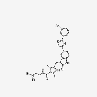 CCN(CC)CCNC(=O)c1c(C)[nH]c(/C=C2\C(=O)Nc3ccc(-c4csc(-c5cccc(Br)c5)n4)cc32)c1C